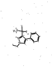 CCn1cc(-c2ccccc2)c(C(C)(F)P)n1